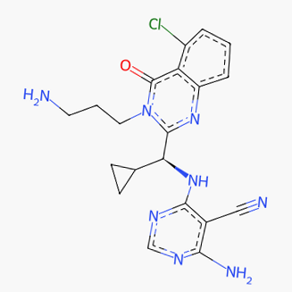 N#Cc1c(N)ncnc1N[C@H](c1nc2cccc(Cl)c2c(=O)n1CCCN)C1CC1